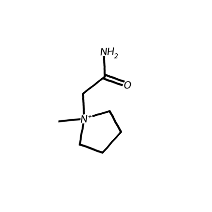 C[N+]1(CC(N)=O)CCCC1